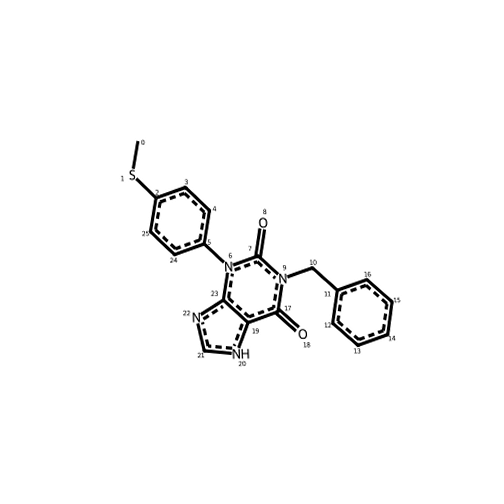 CSc1ccc(-n2c(=O)n(Cc3ccccc3)c(=O)c3[nH]cnc32)cc1